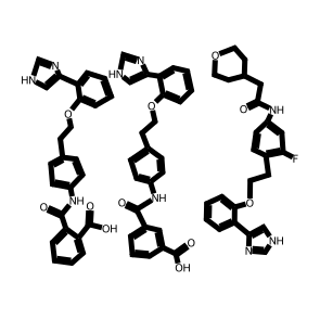 O=C(CC1CCOCC1)Nc1ccc(CCOc2ccccc2-c2c[nH]cn2)c(F)c1.O=C(O)c1cccc(C(=O)Nc2ccc(CCOc3ccccc3-c3c[nH]cn3)cc2)c1.O=C(O)c1ccccc1C(=O)Nc1ccc(CCOc2ccccc2-c2c[nH]cn2)cc1